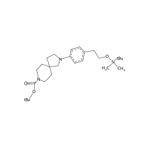 CC(C)(C)OC(=O)N1CCC2(CC1)CCN(c1ccc(CCO[Si](C)(C)C(C)(C)C)cc1)C2